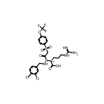 N=C(N)NCCC[C@@H](C(=O)O)N(NCc1ccc(Cl)c(Cl)c1)C(=O)CS(=O)(=O)c1ccc(OC(F)(F)F)cc1